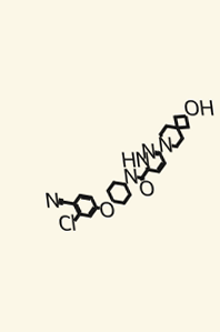 N#Cc1ccc(OC2CCC(NC(=O)c3ccc(N4CCC5(CC4)CC(O)C5)nn3)CC2)cc1Cl